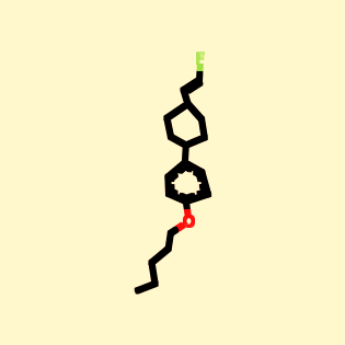 CCCCCOc1ccc(C2CCC(/C=C/F)CC2)cc1